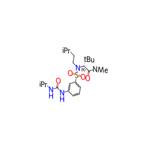 CNC(=O)[C@H](N(CCC(C)C)S(=O)(=O)c1cccc(NC(=O)NC(C)C)c1)C(C)(C)C